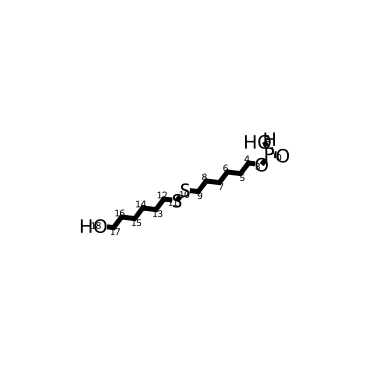 O=[PH](O)OCCCCCCSSCCCCCCO